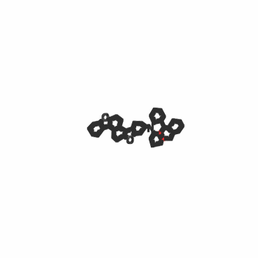 c1ccc(N(c2ccc3c(c2)oc2ccc4c(ccc5oc6ccccc6c54)c23)c2ccccc2-c2cccc3ccccc23)cc1